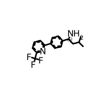 CC(C)C[C@H](N)c1ccc(-c2cccc(C(F)(F)F)n2)cc1